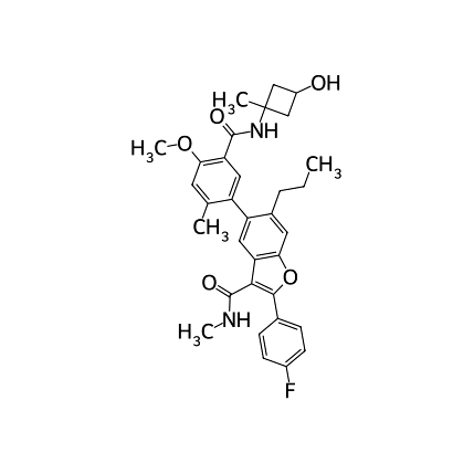 CCCc1cc2oc(-c3ccc(F)cc3)c(C(=O)NC)c2cc1-c1cc(C(=O)NC2(C)CC(O)C2)c(OC)cc1C